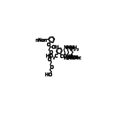 CCCCCCCCCCCCCN.CCCCCCCCCCCCCN.CCCCCCCCCCCCCN.CCCCCCCCCc1ccccc1OC(O)COCCOCCOCCO.O=C(O)c1ccccc1C(=O)O